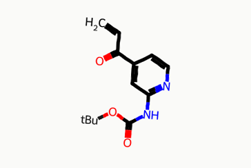 C=CC(=O)c1ccnc(NC(=O)OC(C)(C)C)c1